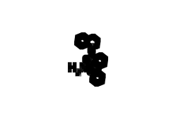 NS(=O)(=O)c1c(CN2CCCc3ccccc32)cccc1-c1ccccc1